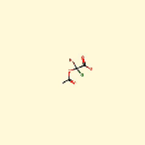 CC(=O)OC(Cl)(Br)C([O])=O